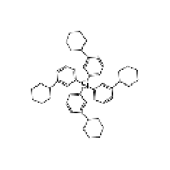 c1cc(C2CCCCC2)cc([Si](c2cccc(C3CCCCC3)c2)(c2cccc(C3CCCCC3)c2)c2cccc(C3CCCCC3)c2)c1